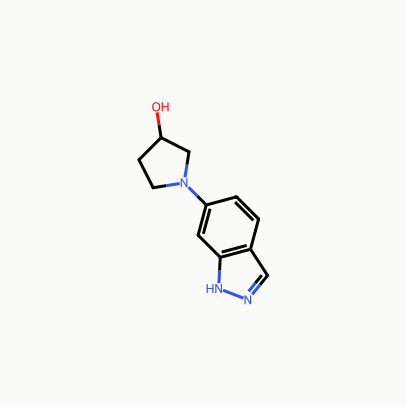 OC1CCN(c2ccc3cn[nH]c3c2)C1